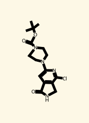 CC(C)(C)OC(=O)N1CCN(c2cc3c(c(Cl)n2)CNC3=O)CC1